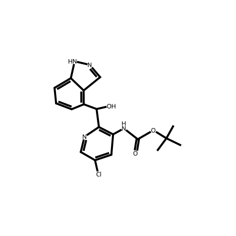 CC(C)(C)OC(=O)Nc1cc(Cl)cnc1C(O)c1cccc2[nH]ncc12